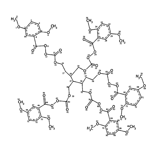 COc1ccc(OC)c(C(=O)OOC(=O)OCCC(COC(=O)OOC(=O)c2cc(OC)ccc2OC)C(COC(=O)OOC(=O)c2cc(OC)ccc2OC)C(CCOC(=O)OOC(=O)c2cc(OC)ccc2OC)COC(=O)OOC(=O)c2cc(OC)ccc2OC)c1